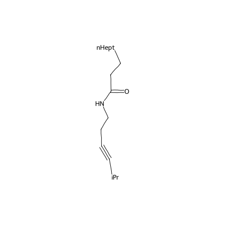 CCCCCCCCCC(=O)NCCC#CC(C)C